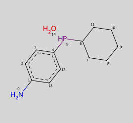 Nc1ccc(PC2CCCCC2)cc1.O